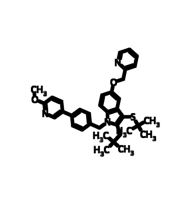 COc1ccc(-c2ccc(Cn3c(CC(C)(C)C)c(SC(C)(C)C)c4cc(OCc5ccccn5)ccc43)cc2)cn1